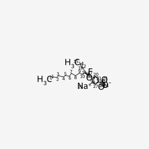 CCCCCCCCCCCC(CCCC)=C(F)Oc1ccc(S(=O)(=O)[O-])cc1.[Na+]